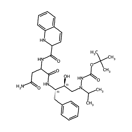 CC(C)N(C[C@H](O)[C@H](Cc1ccccc1)NC(=O)C(CC(N)=O)NC(=O)C1C=Cc2ccccc2N1)NC(=O)OC(C)(C)C